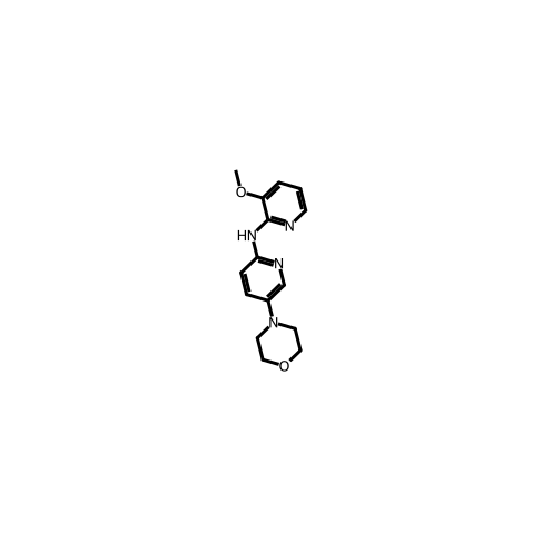 COc1cccnc1Nc1ccc(N2CCOCC2)cn1